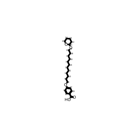 O=C(O)c1ccc(OCCCCCCCCCCCCOC2CCCCO2)cc1